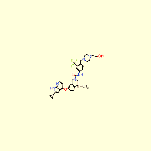 CC[C@H]1CN(C(=O)Nc2ccc(CN3CCN(CCO)CC3)c(C(F)(F)F)c2)Cc2cc(Oc3ccnc4[nH]c(C5CC5)cc34)ccc21